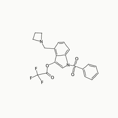 O=C(Oc1cn(S(=O)(=O)c2ccccc2)c2cccc(CN3CCC3)c12)C(F)(F)F